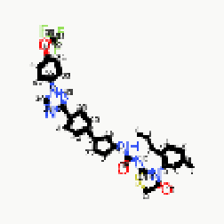 CCCc1ccc(C)cc1N1C(=O)CS/C1=N\C(=O)NC1CCC(c2ccc(-c3ncn(-c4ccc(OC(F)(F)F)cc4)n3)cc2)C1